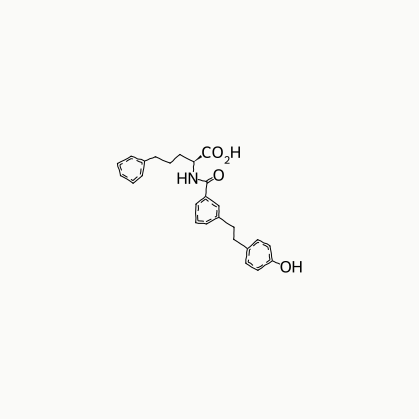 O=C(N[C@@H](CCCc1ccccc1)C(=O)O)c1cccc(CCc2ccc(O)cc2)c1